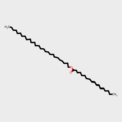 CCCCC=CC=CC=CCCCCCCCC(=O)OCCCCCCCCCCCCCCCCCCCCCCCCCCC